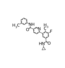 Cc1cccc(NC(=O)c2ccc(-c3cc(C(=O)NC4CC4)cc(F)c3C)nc2)c1